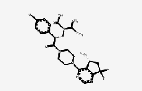 CC(C)N(C[C@H](C(=O)N1CCN(c2ncnc3c2[C@H](C)CC3(F)F)CC1)c1ccc(Cl)cc1)C(=O)O